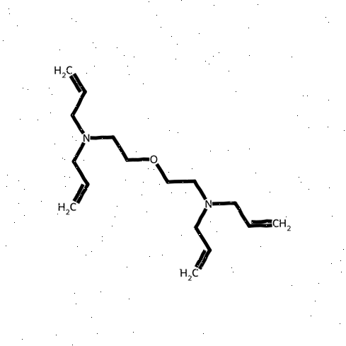 C=CCN(CC=C)CCOCCN(CC=C)CC=C